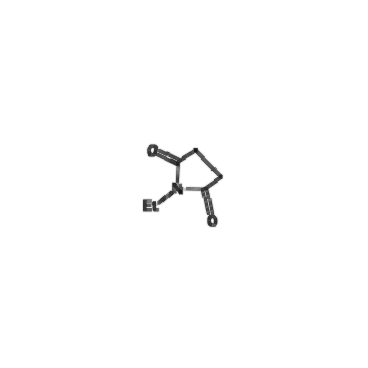 [CH2]CN1C(=O)CCC1=O